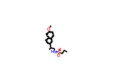 CCCS(=O)(=O)NCC(C)c1ccc2cc(OC)ccc2c1